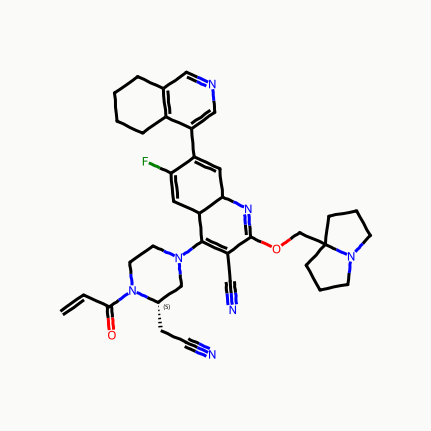 C=CC(=O)N1CCN(C2=C(C#N)C(OCC34CCCN3CCC4)=NC3C=C(c4cncc5c4CCCC5)C(F)=CC23)C[C@@H]1CC#N